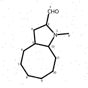 CN1C(C=O)CC2CCCCCCC21